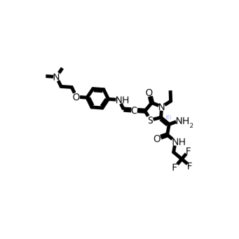 CCn1c(=O)c(=C=CNc2ccc(OCCN(C)C)cc2)s/c1=C(/N)C(=O)NCC(F)(F)F